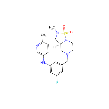 Cc1ccc(Nc2cc(F)cc(CN3CCN4[C@@H](C3)CN(C)S4(=O)=O)c2)cn1